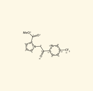 COC(=O)c1cccn1CC(=O)c1ccc(C(F)(F)F)cn1